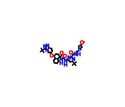 COC1CN(CCNC(=O)c2nc(NC(=O)N[C@@]3(C=O)C=C[C@@H](Oc4ccc5nnc(C(C)(C)C)n5c4)c4ccccc43)cc(C(C)(C)C)n2)C1